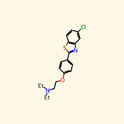 CCN(CC)CCOc1ccc(-c2nc3cc(Cl)ccc3s2)cc1